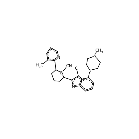 Cc1cccnc1C1CCCC(c2nc3cccc(N4CCN(C)CC4)n3c2Cl)B1C#N